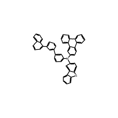 c1cc(-c2cccc(N(c3ccc4sc5ccccc5c4c3)c3ccc4c5ccccc5c5ccccc5c4c3)c2)cc(-c2cccc3ccccc23)c1